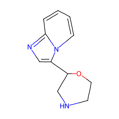 c1ccn2c(C3CNCCO3)cnc2c1